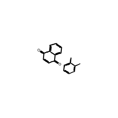 Cc1ccccc1C.O=C1C=CC(=O)c2ccccc21